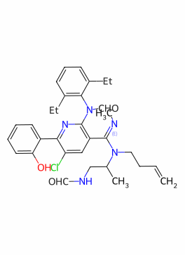 C=CCCN(/C(=N/C)c1cc(Cl)c(-c2ccccc2O)nc1N(C=O)c1c(CC)cccc1CC)C(C)CNC=O